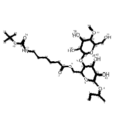 CCC(C)OC1OC(COC(=O)CCCCCNC(=O)OC(C)(C)C)C(OC2OC(CO)C(OC)C(O)C2O)C(O)C1O